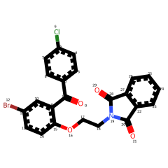 O=C(c1ccc(Cl)cc1)c1cc(Br)ccc1OCCN1C(=O)c2ccccc2C1=O